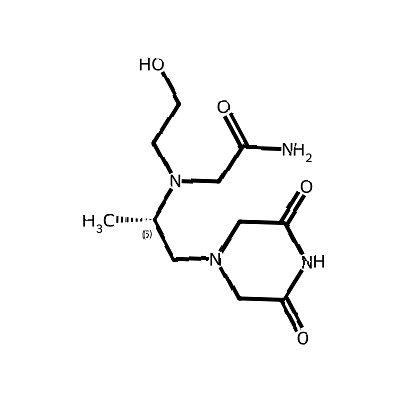 C[C@@H](CN1CC(=O)NC(=O)C1)N(CCO)CC(N)=O